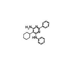 Nc1nc(-c2ccccc2)nc(Nc2ccccc2)c1C1CCCCC1